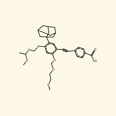 COCCOCOc1cc(OCOC(C)OC)c(C23CC4CC(CC(C4)C2)C3)cc1C#Cc1ccc(C(=O)O)cc1